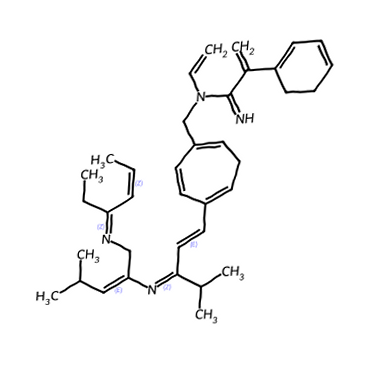 C=CN(CC1=CCC=C(/C=C/C(=N\C(=C\C(C)C)C/N=C(\C=C/C)CC)C(C)C)C=C1)C(=N)C(=C)C1=CC=CCC1